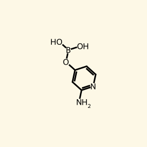 Nc1cc(OB(O)O)ccn1